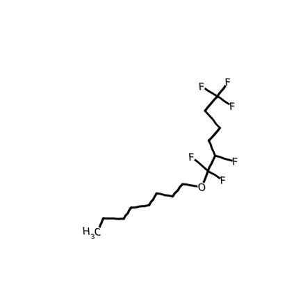 CCCCCCCCOC(F)(F)C(F)CCCC(F)(F)F